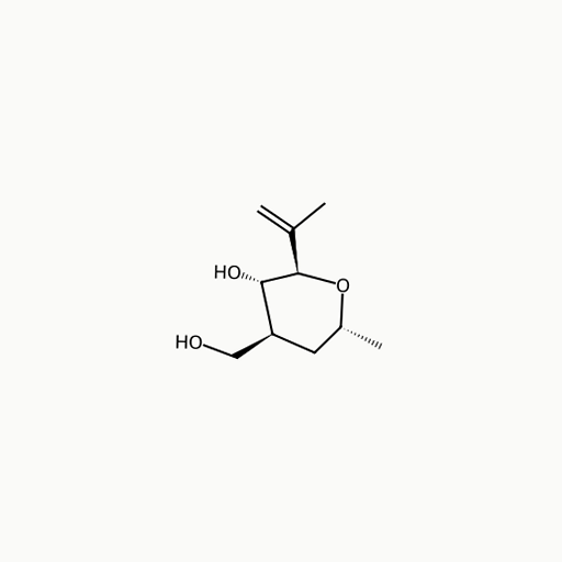 C=C(C)[C@H]1O[C@H](C)C[C@@H](CO)[C@@H]1O